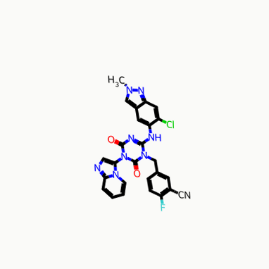 Cn1cc2cc(Nc3nc(=O)n(-c4cnc5ccccn45)c(=O)n3Cc3ccc(F)c(C#N)c3)c(Cl)cc2n1